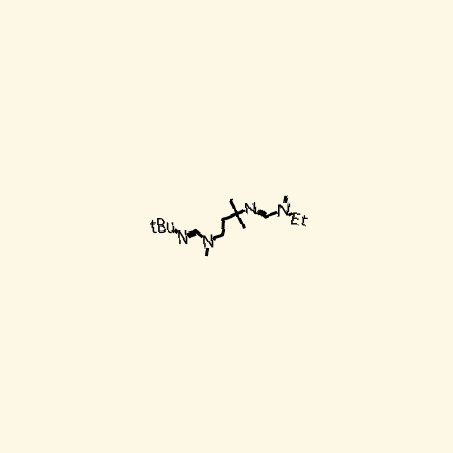 CCN(C)/C=N/C(C)(C)CCN(C)/C=N/C(C)(C)C